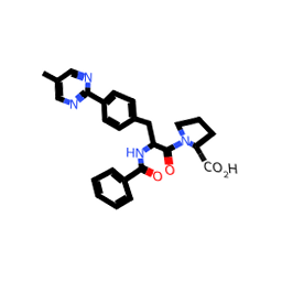 Cc1cnc(-c2ccc(CC(NC(=O)c3ccccc3)C(=O)N3CCCC3C(=O)O)cc2)nc1